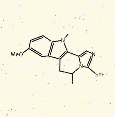 CCCc1ncc2n1C(C)Cc1c-2n(C)c2ccc(OC)cc12